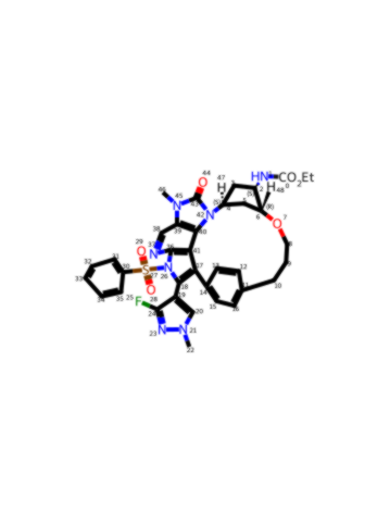 CCOC(=O)N[C@H]1C[C@H]2C[C@H]1OCCCc1ccc(cc1)-c1c(-c3cn(C)nc3F)n(S(=O)(=O)c3ccccc3)c3ncc4c(c13)n2c(=O)n4C